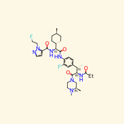 CCC(=O)N[C@@H](C(=O)N1CCN(C)[C@H](C)C1)[C@@H](C)c1ccc(NC(=O)[C@@H](NC(=O)c2ccnn2CCF)[C@H]2CC[C@H](C)CC2)c(F)c1